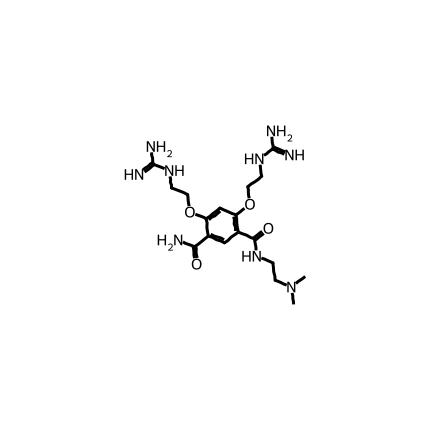 CN(C)CCNC(=O)c1cc(C(N)=O)c(OCCNC(=N)N)cc1OCCNC(=N)N